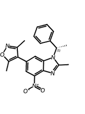 Cc1noc(C)c1-c1cc([N+](=O)[O-])c2nc(C)n([C@@H](C)c3ccccc3)c2c1